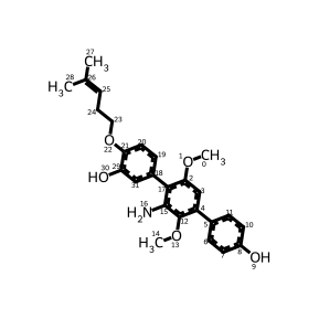 COc1cc(-c2ccc(O)cc2)c(OC)c(N)c1-c1ccc(OCCC=C(C)C)c(O)c1